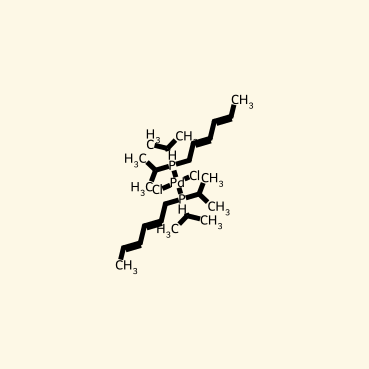 CC=CC=CC[PH](C(C)C)(C(C)C)[Pd]([Cl])([Cl])[PH](CC=CC=CC)(C(C)C)C(C)C